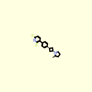 C[C@@H]1CCCN1[C@H]1C[C@H](c2ccc(-c3ccc(F)nc3F)cc2)C1